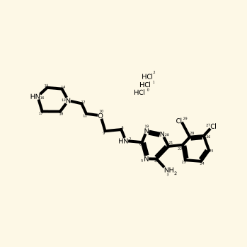 Cl.Cl.Cl.Nc1nc(NCCOCCN2CCNCC2)nnc1-c1cccc(Cl)c1Cl